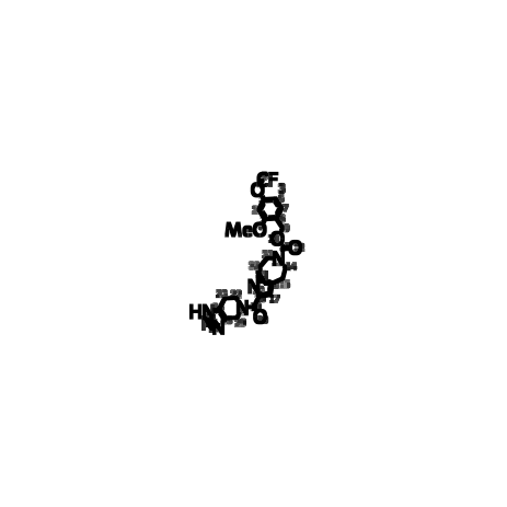 COc1cc(OC(F)(F)F)ccc1COC(=O)N1CCc2cc(C(=O)N3CCc4[nH]nnc4C3)nn2CC1